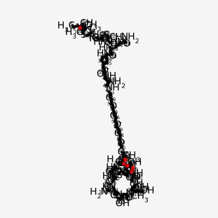 CCCCC(C)[C@]1(C)SC/C(=N\OCC(=O)N[C@H](C(=O)N[C@@H](CCCNC(N)=O)C(=O)Nc2ccc(COC(=O)NC/C(N)=C/NCCOCCOCCOCCOCCOCCOCCOCCSCc3c(O)ccc4c5c([nH]c34)[S+]([O-])C[C@H]3NC(=O)CNC(=O)[C@H]([C@@H](C)CC)NC(=O)CNC(=O)[C@H](C5)NC(=O)[C@H]([C@@H](C)[C@@H](O)CO)NC(=O)[C@@H]4C[C@@H](O)CN4C(=O)[C@H](CC(N)=O)NC3=O)cc2)C(C)C)CSC1(C)C